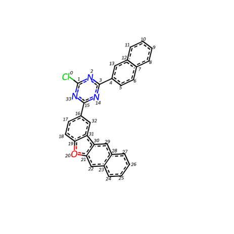 Clc1nc(-c2ccc3ccccc3c2)nc(-c2ccc3oc4cc5ccccc5cc4c3c2)n1